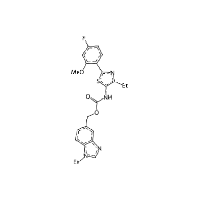 CCc1nc(-c2ccc(F)cc2OC)sc1NC(=O)OCc1ccc2c(c1)ncn2CC